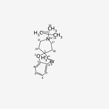 CC1(Oc2ccccc2Br)CCN(C(C)(C)C)CC1